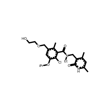 CCN(Cc1c(C)cc(C)[nH]c1=O)C(=O)c1c(C)c(COCCO)cc(OC(C)C)c1Cl